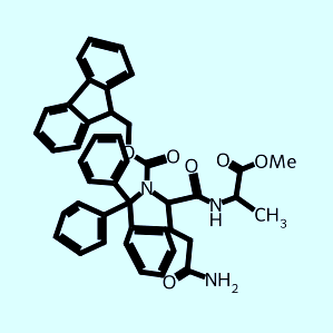 COC(=O)C(C)NC(=O)C(CCC(N)=O)N(C(=O)OCC1c2ccccc2-c2ccccc21)C(c1ccccc1)(c1ccccc1)c1ccccc1